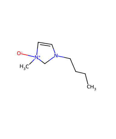 CCCCN1C=C[N+](C)([O-])C1